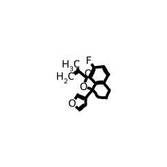 C=C(C)C(=O)OC1(c2ccoc2)CCCc2ccc(F)cc21